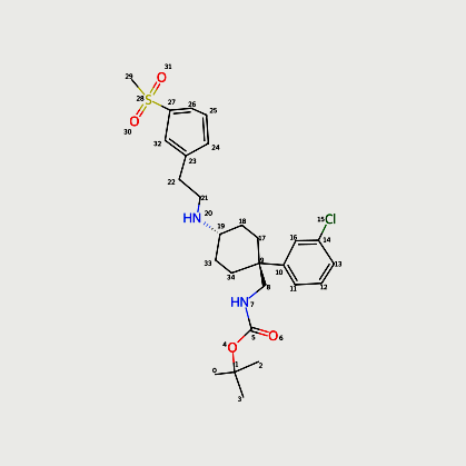 CC(C)(C)OC(=O)NC[C@]1(c2cccc(Cl)c2)CC[C@@H](NCCc2cccc(S(C)(=O)=O)c2)CC1